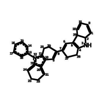 C1=CC2NC3=C(C=C(C4=Cc5c(n(-c6ccccc6)c6c5=CCCC=6)CC4)CC3)C2C=C1